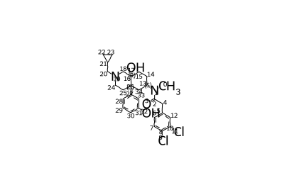 CN(C(=O)Cc1ccc(Cl)c(Cl)c1)[C@H]1CC[C@]2(O)CN(CC3CC3)CC[C@@]2(c2cccc(O)c2)C1